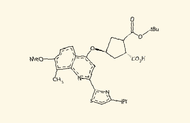 COc1ccc2c(O[C@H]3CC(C(=O)OC(C)(C)C)[C@H](C(=O)O)C3)cc(-c3nc(C(C)C)cs3)nc2c1C